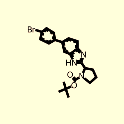 CC(C)(C)OC(=O)N1CCCC1c1nc2ccc(-c3ccc(Br)cc3)cc2[nH]1